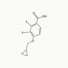 O=C(O)c1ccc(OCC2CC2)c(F)c1F